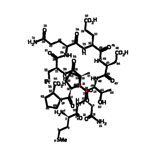 CSCC[C@H](N)C(=O)N[C@@H](CC(N)=O)C(=O)N[C@@H](C)C(=O)N[C@@H](CC(C)C)C(=O)N[C@@H](CCC(N)=O)C(=O)N[C@@H](CCC(=O)O)C(=O)N[C@@H](CC(=O)O)C(=O)N[C@H](C(=O)N1CCC[C@H]1C(=O)N1CCC[C@H]1C(=O)O)[C@@H](C)O